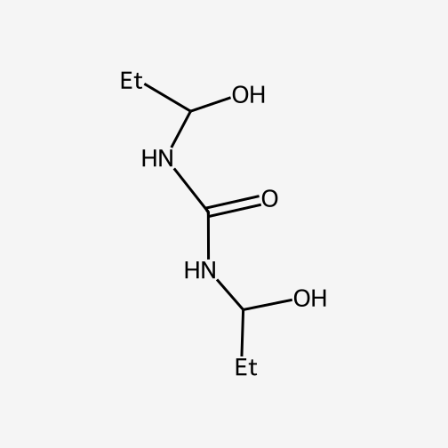 CCC(O)NC(=O)NC(O)CC